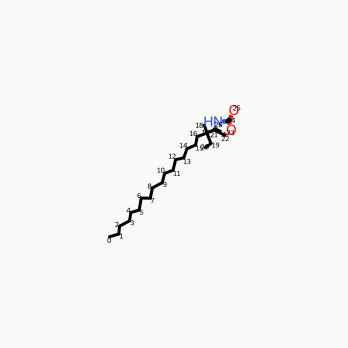 CCCCCCCCCCCCCCCCCC(C)(CC)c1coc(=O)[nH]1